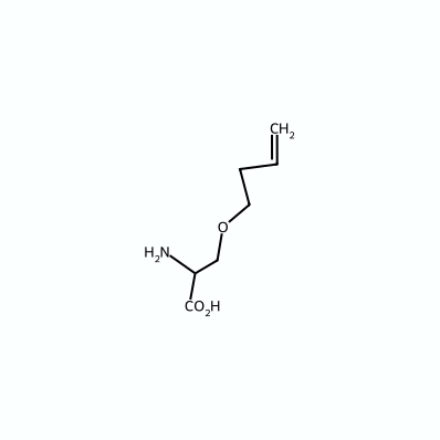 C=CCCOCC(N)C(=O)O